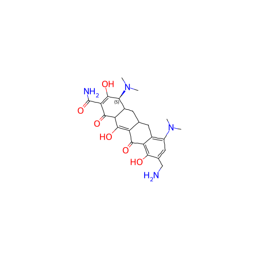 CN(C)c1cc(CN)c(O)c2c1CC1CC3C(C(=O)C(C(N)=O)=C(O)[C@H]3N(C)C)C(O)=C1C2=O